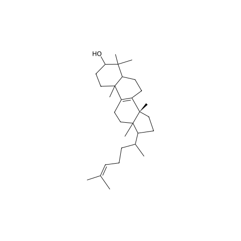 CC(C)=CCCC(C)C1CC[C@@]2(C)C3=C(CCC12C)C1(C)CCC(O)C(C)(C)C1CC3